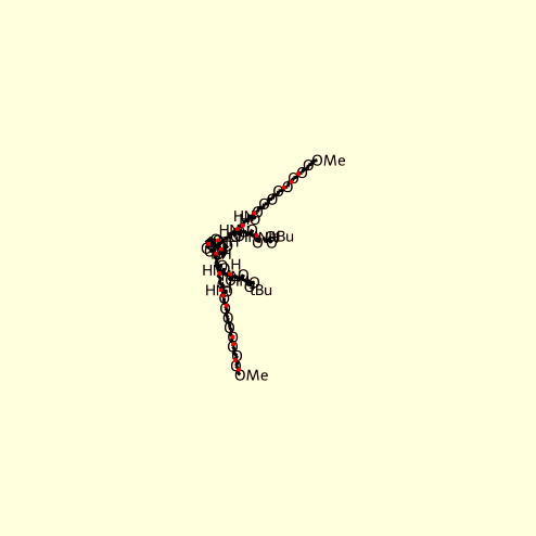 COCCOCCOCCOCCOCCOCCOCCOCCOCC(=O)NCCCCC(NC(=O)CCCNC(=O)C(C(C(=O)NCCCC(=O)NC(CCCCNC(=O)COCCOCCOCCOCCOCCOCCOCCOCCOC)C(=O)NCC(=O)NCC(=O)NCC(=O)OC(C)(C)C)N1C(=O)C=CC1=O)N1C(=O)C=CC1=O)C(=O)NCC(=O)NCC(=O)NCC(=O)OC(C)(C)C